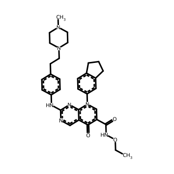 CCONC(=O)c1cn(-c2ccc3c(c2)CCC3)c2nc(Nc3ccc(CCN4CCN(C)CC4)cc3)ncc2c1=O